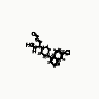 O=CN=CC(NO)N1CCN(c2ccnc3cc(Cl)ccc23)CC1